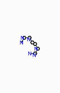 N#Cc1cc(-c2cccc(-c3ccc4cc(-c5cccc(-c6ccnc(C#N)c6)n5)ccc4c3)n2)ccn1